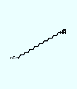 C=CNCCCCCCCCCCCCCCCCCCCCCCCCCCC